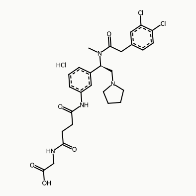 CN(C(=O)Cc1ccc(Cl)c(Cl)c1)[C@@H](CN1CCCC1)c1cccc(NC(=O)CCC(=O)NCC(=O)O)c1.Cl